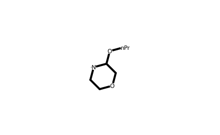 CCCOC1COCC[N]1